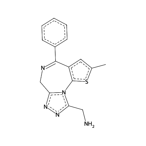 Cc1cc2c(s1)-n1c(CN)nnc1CN=C2c1ccccc1